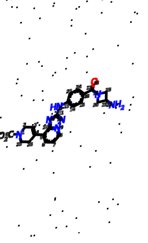 CCOC(=O)N1CC=C(c2cccn3nc(Nc4ccc(C(=O)N5CC(N)C5)cc4)nc23)CC1